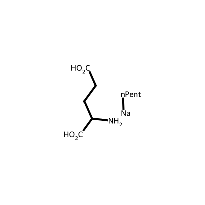 CCCC[CH2][Na].NC(CCC(=O)O)C(=O)O